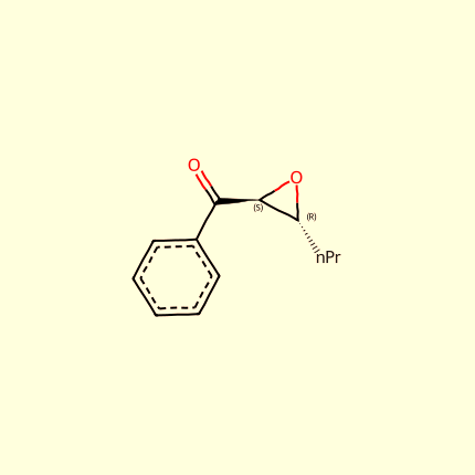 CCC[C@H]1O[C@@H]1C(=O)c1ccccc1